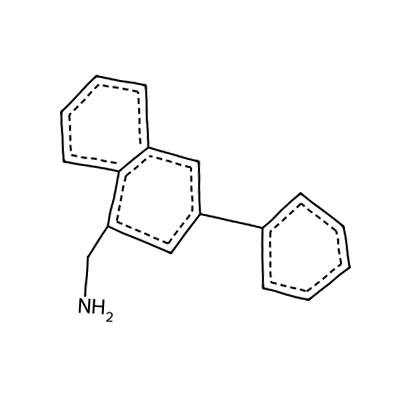 NCc1cc(-c2ccccc2)cc2ccccc12